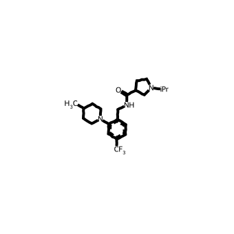 CC1CCN(c2cc(C(F)(F)F)ccc2CNC(=O)C2CCN(C(C)C)C2)CC1